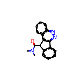 CN(C)C(=O)C1c2ccccc2-c2nnc3ccccc3c21